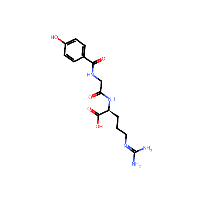 NC(N)=NCCC[C@H](NC(=O)CNC(=O)c1ccc(O)cc1)C(=O)O